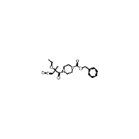 CCOC(C)(C=C=O)C(=O)N1CCN(C(=O)OCc2ccccc2)CC1